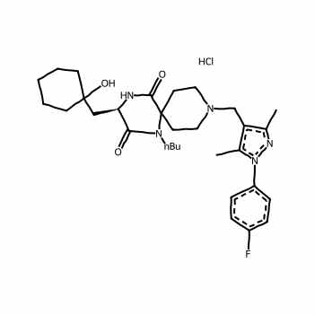 CCCCN1C(=O)[C@@H](CC2(O)CCCCC2)NC(=O)C12CCN(Cc1c(C)nn(-c3ccc(F)cc3)c1C)CC2.Cl